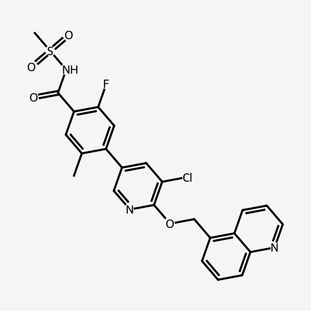 Cc1cc(C(=O)NS(C)(=O)=O)c(F)cc1-c1cnc(OCc2cccc3ncccc23)c(Cl)c1